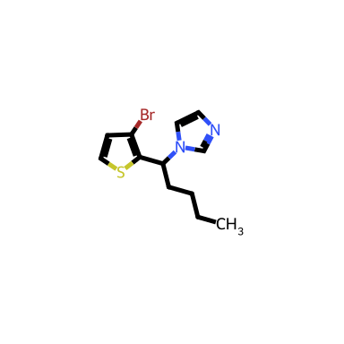 CCCCC(c1sccc1Br)n1ccnc1